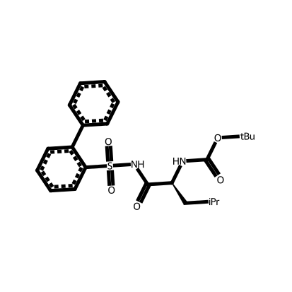 CC(C)C[C@H](NC(=O)OC(C)(C)C)C(=O)NS(=O)(=O)c1ccccc1-c1ccccc1